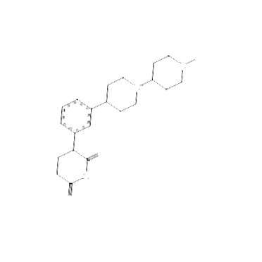 CC(C)(C)N1CCC(N2CCC(c3cccc(C4CCC(=O)NC4=O)c3)CC2)CC1